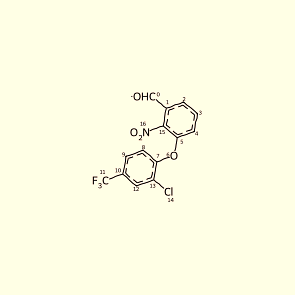 O=[C]c1cccc(Oc2ccc(C(F)(F)F)cc2Cl)c1[N+](=O)[O-]